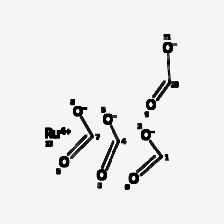 O=C[O-].O=C[O-].O=C[O-].O=C[O-].[Ru+4]